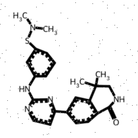 CN(C)Sc1cccc(Nc2nccc(-c3ccc4c(c3)C(C)(C)CNC4=O)n2)c1